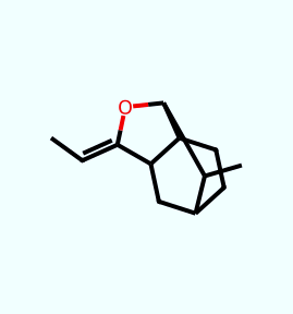 CC=C1OC2C(C)C3CCC2C1C3